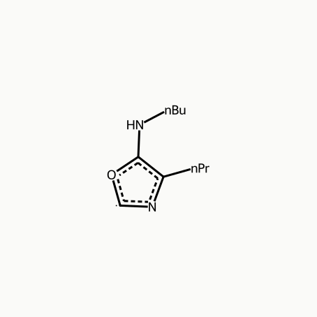 CCCCNc1o[c]nc1CCC